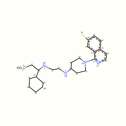 O=C(O)CC(NCCNC1CCN(c2nccc3ccc(F)cc23)CC1)C1CCCCC1